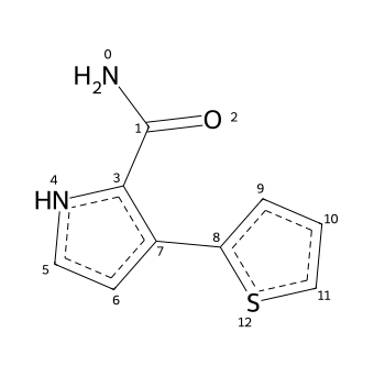 NC(=O)c1[nH]ccc1-c1cccs1